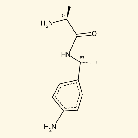 C[C@H](N)C(=O)N[C@H](C)c1ccc(N)cc1